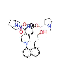 CN1CCC[C@H]1COc1cc2c(c(N3CC4CCC(C3)N4C(=O)OC(C)(C)C)n1)CCN(c1cccc3cccc(CCCO)c13)C2